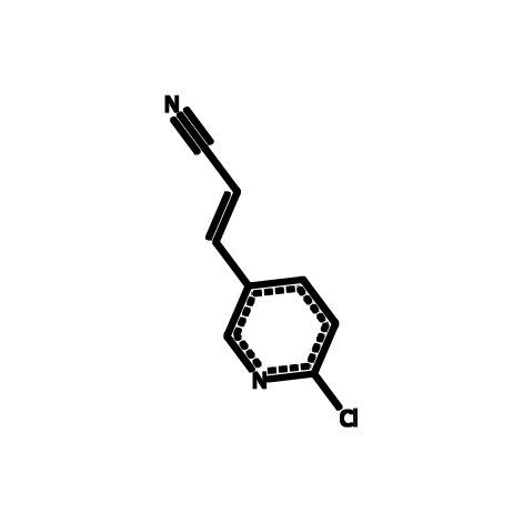 N#CC=Cc1ccc(Cl)nc1